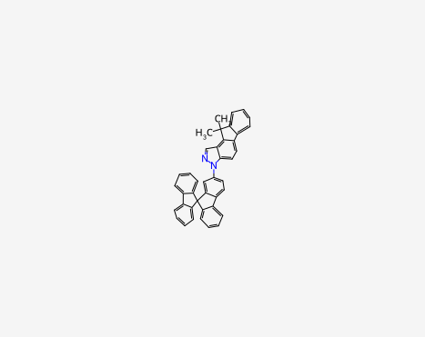 CC1(C)c2ccccc2-c2ccc3c(cnn3-c3ccc4c(c3)C3(c5ccccc5-c5ccccc53)c3ccccc3-4)c21